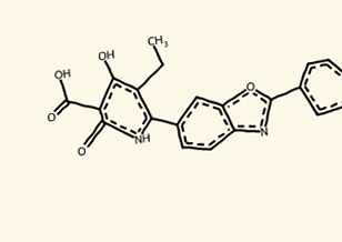 CCc1c(-c2ccc3nc(-c4ccccc4)oc3c2)[nH]c(=O)c(C(=O)O)c1O